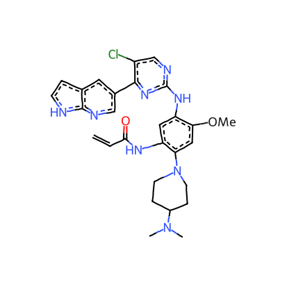 C=CC(=O)Nc1cc(Nc2ncc(Cl)c(-c3cnc4[nH]ccc4c3)n2)c(OC)cc1N1CCC(N(C)C)CC1